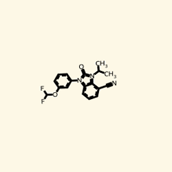 CC(C)n1c(=O)n(-c2cccc(OC(F)F)c2)c2cccc(C#N)c21